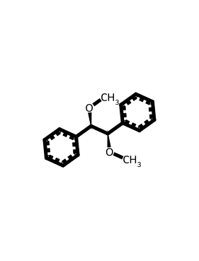 CO[C@H](c1ccccc1)[C@H](OC)c1ccccc1